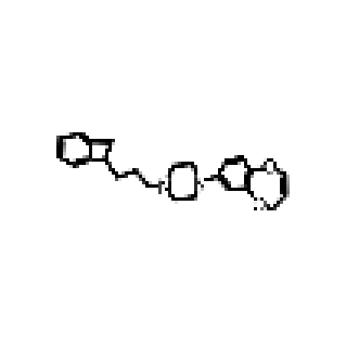 C1=COc2ccc(N3CCN(CCCC4Cc5ccccc54)CC3)cc2OC1